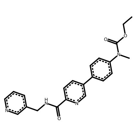 CCOC(=O)N(C)c1ccc(-c2ccc(C(=O)NCc3cccnc3)nc2)cc1